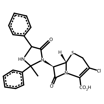 CC1(c2ccccc2)NC(c2ccccc2)C(=O)N1[C@@H]1C(=O)N2C(C(=O)O)=C(Cl)CS[C@@H]12